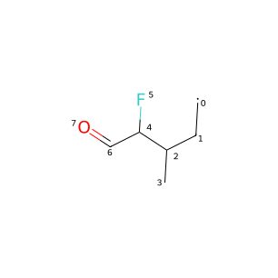 [CH2]CC(C)C(F)C=O